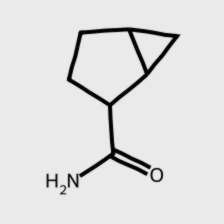 NC(=O)C1CCC2CC21